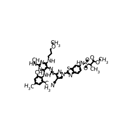 CNc1nc(NCCCOC)c(N=Nc2nn(-c3nc4ccc(NS(=O)(=O)C(C)C(=O)OC)cc4s3)cc2C#N)c(Nc2c(C)cc(C)cc2C)n1